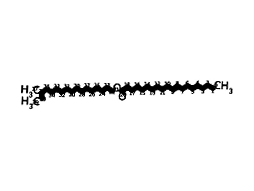 CCCCCCCCC=CCCCCCCCCCC(=O)OCCCCCCCCCCCCCCC(C)CC